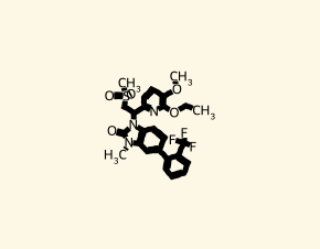 CCOc1nc(C(CS(C)(=O)=O)n2c(=O)n(C)c3cc(-c4ccccc4C(F)(F)F)ccc32)ccc1OC